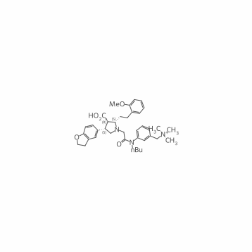 CCCCN(C(=O)CN1C[C@H](c2ccc3c(c2)CCO3)[C@@H](C(=O)O)[C@@H]1CCc1ccccc1OC)c1cccc(C[N+](C)(C)C)c1